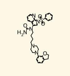 NC(=O)N(CCCCN1CCN(c2cccc3c2OCC3)CC1)c1cn(S(=O)(=O)c2ccccc2)c2ncccc12